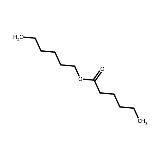 [CH2]CCCCCOC(=O)CCCCC